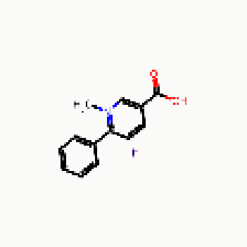 C[n+]1cc(C(=O)O)ccc1-c1ccccc1.[I-]